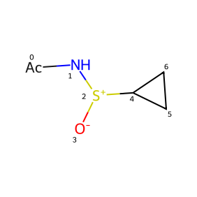 CC(=O)N[S+]([O-])C1CC1